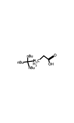 CCC(=O)O.CCCCC(P)(CCCC)CCCC